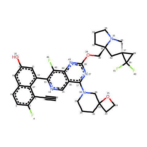 C#Cc1c(F)ccc2cc(O)cc(-c3ncc4c(N5CCCC6(CCO6)C5)nc(OC[C@@]56CCCN5C[C@@]5(CC5(F)F)C6)nc4c3F)c12